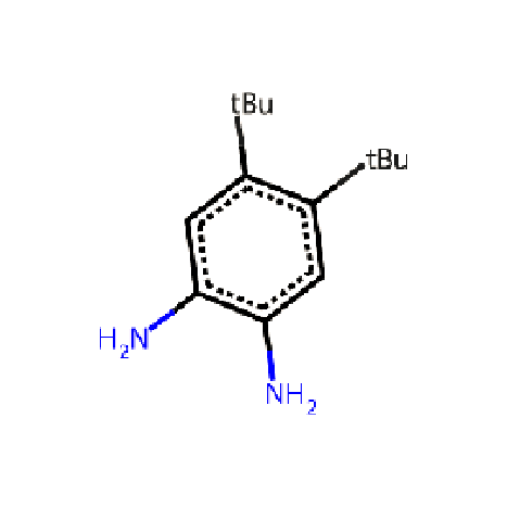 CC(C)(C)c1cc(N)c(N)cc1C(C)(C)C